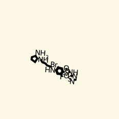 N[C@@H]1CCC[C@H]1NCCCCNc1cc(F)c(S(=O)(=O)Nc2ncns2)cc1Br